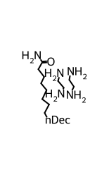 CCCCCCCCCCCCCCCCCC(N)=O.NCCN.NCCN